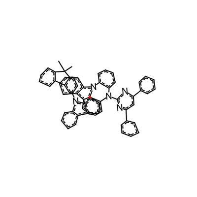 CC1(C)c2ccccc2-c2cc3c4ccccc4n(-c4ccccc4N(c4ccc5c6ccccc6n(-c6ccccc6)c5c4)c4nc(-c5ccccc5)cc(-c5ccccc5)n4)c3cc21